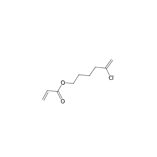 C=CC(=O)OCCCCC(=C)Cl